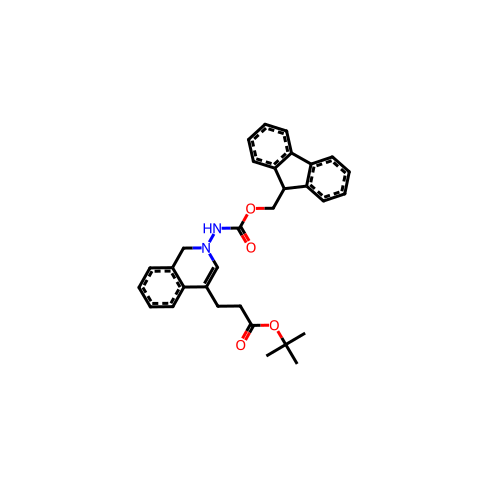 CC(C)(C)OC(=O)CCC1=CN(NC(=O)OCC2c3ccccc3-c3ccccc32)Cc2ccccc21